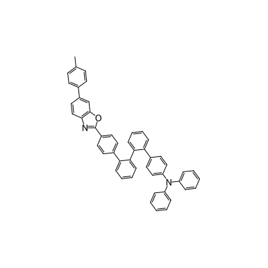 Cc1ccc(-c2ccc3nc(-c4ccc(-c5ccccc5-c5ccccc5-c5ccc(N(c6ccccc6)c6ccccc6)cc5)cc4)oc3c2)cc1